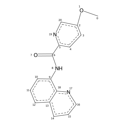 COc1ccc(C(=O)Nc2cccc3cccnc23)nc1